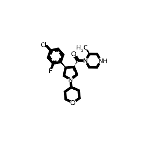 C[C@H]1CNCCN1C(=O)[C@@H]1CN(C2CCOCC2)C[C@H]1c1ccc(Cl)cc1F